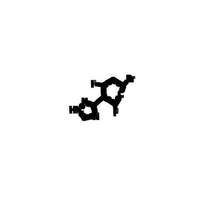 Fc1cc(Br)cc(F)c1-c1nc[nH]n1